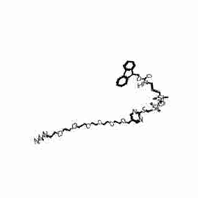 C[Si](C)(CCCNC(=O)OCC1c2ccccc2-c2ccccc21)O[Si](C)(C)CSc1ncc(COCCOCCOCCOCCOCCOCCN=[N+]=[N-])cn1